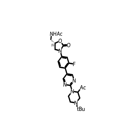 CC(=O)NC[C@H]1CN(c2ccc(-c3cnc(N4CCN(C(C)(C)C)CC4C(C)=O)nc3)c(F)c2)C(=O)O1